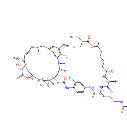 COc1cc2cc(c1Cl)N(C)C(=O)C[C@H](OC(=O)Nc1ccc(NC(=O)[C@H](CCCNC(N)=O)NC(=O)[C@@H](NC(=O)CCCCC(C)OC(=O)C(CBr)CBr)C(C)C)cc1Br)[C@]1(C)O[C@H]1[C@H](C)[C@@H]1C[C@@](O)(NC(=O)O1)[C@H](OC)/C=C/C=C(\C)C2